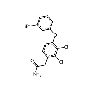 CC(C)c1cccc(Oc2ccc(CC(N)=O)c(Cl)c2Cl)c1